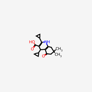 CC1(C)CC(=O)C2=C(C1)NC(C1CC1)=C(C(=O)O)C2C1CC1